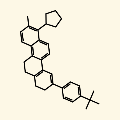 Cc1ccc2c3c(ccc2c1C1CCCC1)C1=C(CCC(c2ccc(C(C)(C)C)cc2)=C1)CC3